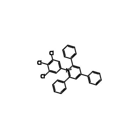 Clc1cc(-[n+]2c(-c3ccccc3)cc(-c3ccccc3)cc2-c2ccccc2)cc(Cl)c1Cl